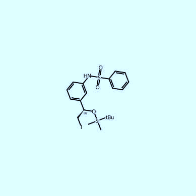 CC(C)(C)[Si](C)(C)O[C@@H](CI)c1cccc(NS(=O)(=O)c2ccccc2)c1